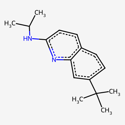 CC(C)Nc1ccc2ccc(C(C)(C)C)cc2n1